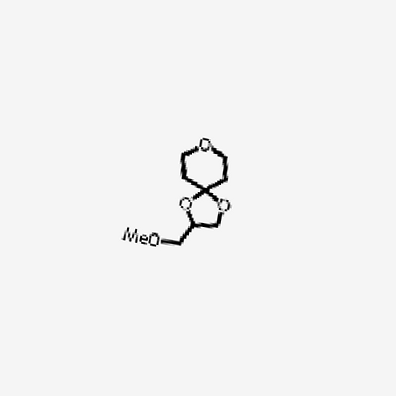 COCC1COC2(CCOCC2)O1